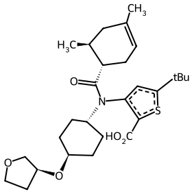 CC1=CC[C@H](C(=O)N(c2cc(C(C)(C)C)sc2C(=O)O)[C@H]2CC[C@H](O[C@H]3CCOC3)CC2)[C@@H](C)C1